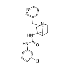 O=C(Nc1cccc(Cl)c1)NC1C2CCN(CC2)C1Cc1cccnc1